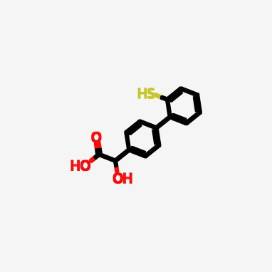 O=C(O)C(O)c1ccc(-c2ccccc2S)cc1